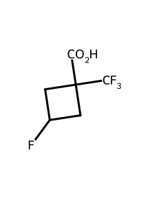 O=C(O)C1(C(F)(F)F)CC(F)C1